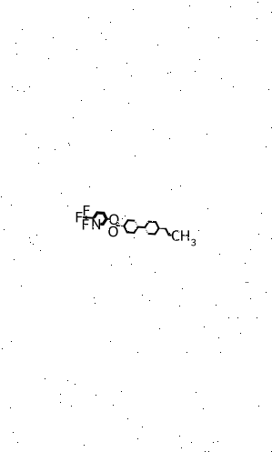 CCC[C@H]1CC[C@H]([C@H]2CC[C@H](C(=O)Oc3ccc(C(F)(F)F)nc3)CC2)CC1